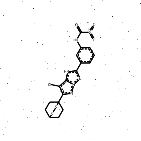 O=C(Nc1cccc(-c2nn3nc(C45CCC(CC4)CC5)c(Cl)c3[nH]2)c1)[SH](=O)=O